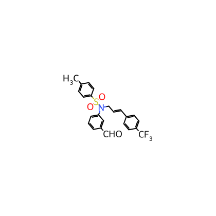 Cc1ccc(S(=O)(=O)N(CC=Cc2ccc(C(F)(F)F)cc2)c2cccc(C=O)c2)cc1